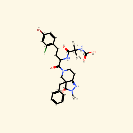 CN1N=C2CCN(C(=O)C(CCc3ccc(Br)cc3Cl)NC(=O)C(C)(C)NC(=O)O)CC2(Cc2ccccc2)C1=O